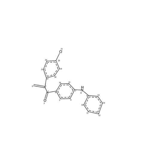 C=C(C(=O)c1ccc(Nc2ccccc2)cc1)c1ccc(Cl)cc1